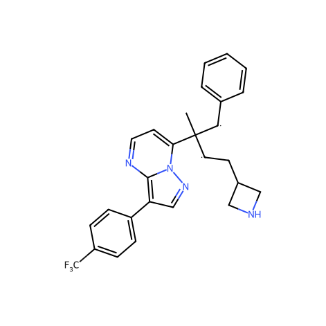 CC([CH]CC1CNC1)([CH]c1ccccc1)c1ccnc2c(-c3ccc(C(F)(F)F)cc3)cnn12